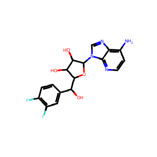 Nc1ccnc2c1ncn2C1OC(C(O)c2ccc(F)c(F)c2)C(O)C1O